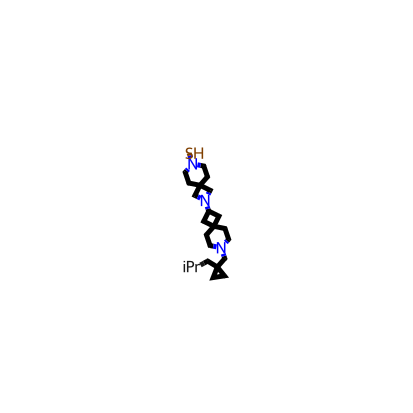 CC(C)CC1(CN2CCC3(CC2)CC(N2CC4(CCN(S)CC4)C2)C3)CC1